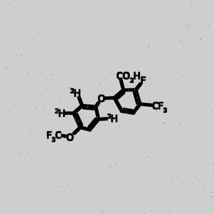 [2H]c1cc(OC(F)(F)F)c([2H])c([2H])c1Oc1ccc(C(F)(F)F)c(F)c1C(=O)O